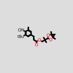 Cc1cc(CCC(=O)OCC(C)(C)C2OC3(C)CC3(C)O2)cc(C(C)(C)C)c1N=O